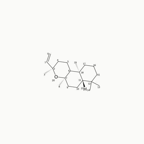 C=C[C@@]1(C)CCC2[C@@](C)(CC[C@H]3C(C)(C)CCC[C@]23C)O1